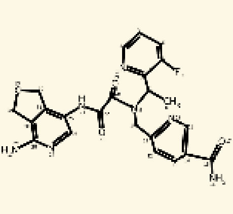 CC(c1ncccc1F)N(Cc1ccc(C(N)=O)cn1)C(=O)C(=O)Nc1cnc(N)c2c1COC2